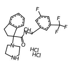 CN(Cc1cc(F)cc(C(F)(F)F)c1)C(=O)C1(N2CCNCC2)CCc2ccccc21.Cl.Cl